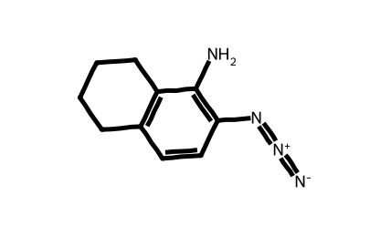 [N-]=[N+]=Nc1ccc2c(c1N)CCCC2